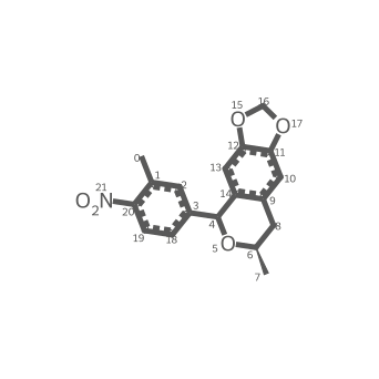 Cc1cc(C2O[C@H](C)Cc3cc4c(cc32)OCO4)ccc1[N+](=O)[O-]